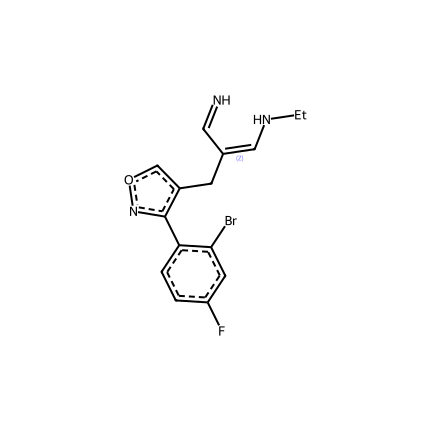 CCN/C=C(\C=N)Cc1conc1-c1ccc(F)cc1Br